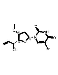 C=CC(Cl)[C@H]1O[C@@H](n2cc(Br)c(=O)[nH]c2=O)C[C@@H]1OC